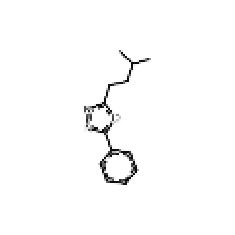 CC(C)CCc1nnc(-c2ccccc2)o1